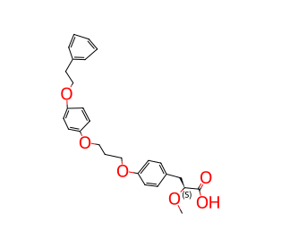 CO[C@@H](Cc1ccc(OCCCOc2ccc(OCCc3ccccc3)cc2)cc1)C(=O)O